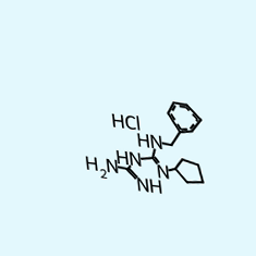 Cl.N=C(N)NC(=NC1CCCC1)NCc1ccccc1